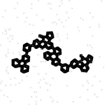 O=c1c2ccsc2c2cc(-c3cccc4c5cc(-c6cccc(-c7ccc8c(c7)c7cccc9c%10sccc%10c(=O)n8c79)c6)ccc5c5ccccc5c34)cc3c2n1-c1ccc(-c2cccc(-c4ccc5c6ccccc6c6ccccc6c5c4)c2)cc1S3